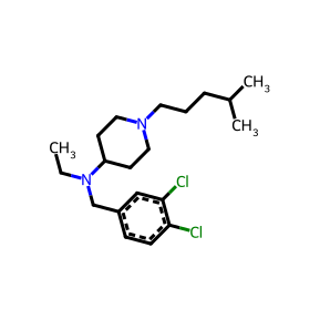 CCN(Cc1ccc(Cl)c(Cl)c1)C1CCN(CCCC(C)C)CC1